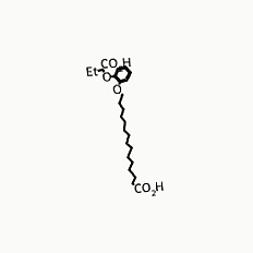 CCC(Oc1ccccc1OCCCCCCCCCCCCCCC(=O)O)C(=O)O